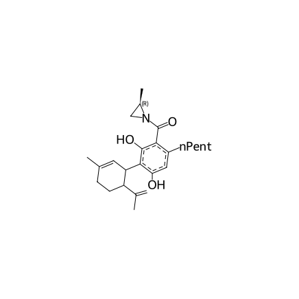 C=C(C)C1CCC(C)=CC1c1c(O)cc(CCCCC)c(C(=O)N2C[C@H]2C)c1O